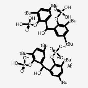 CC(C)(C)c1cc(C(O)c2cc(C(C)(C)C)cc(C(C)(C)C)c2OP(=O)(O)O)c(OP(=O)(O)O)c(C(C)(C)C)c1.CC(C)(C)c1cc(C(O)c2cc(C(C)(C)C)cc(C(C)(C)C)c2OP(=O)(O)O)c(OP(=O)(O)O)c(C(C)(C)C)c1.[Al]